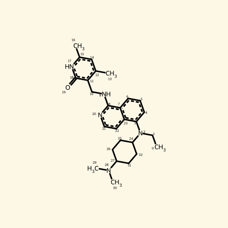 CCN(c1cccc2c(NCc3c(C)cc(C)[nH]c3=O)nccc12)C1CCC(N(C)C)CC1